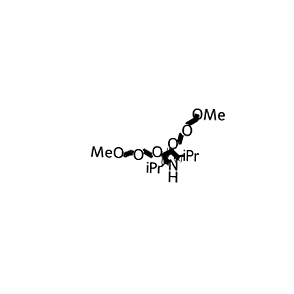 COCCOCCO[C@@H]1[C@@H](OCCOCCOC)[C@@H](C(C)C)N[C@@H]1C(C)C